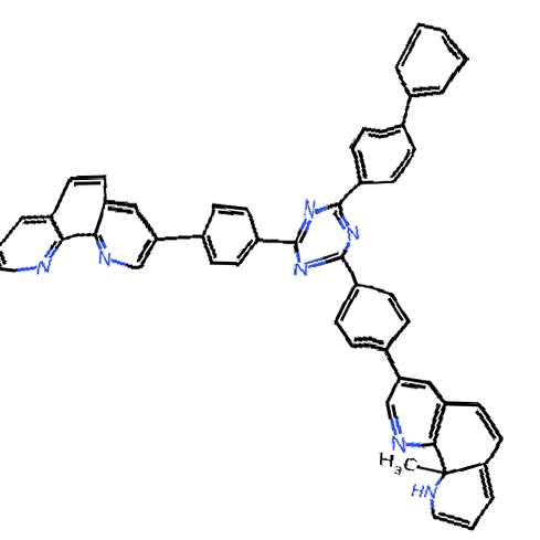 CC12NC=CC=C1C=Cc1cc(-c3ccc(-c4nc(-c5ccc(-c6ccccc6)cc5)nc(-c5ccc(-c6cnc7c(ccc8cccnc87)c6)cc5)n4)cc3)cnc12